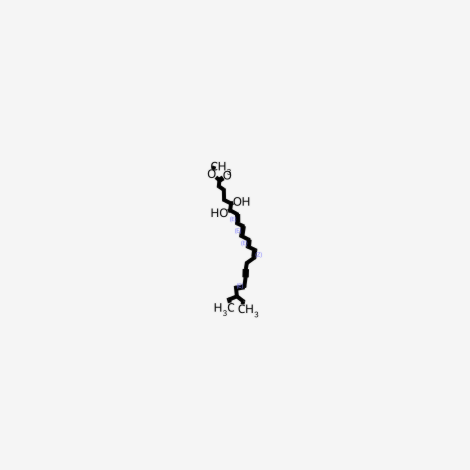 CCC(/C=C/C#CC\C=C/C=C/C=C/C=C/C(O)C(O)CCCC(=O)OC)CC